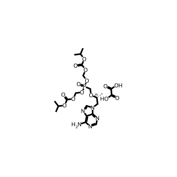 CC(C)OC(=O)OCOP(=O)(CO[C@H](C)Cn1cnc2c(N)ncnc21)OCOC(=O)OC(C)C.O=C(O)C(=O)O